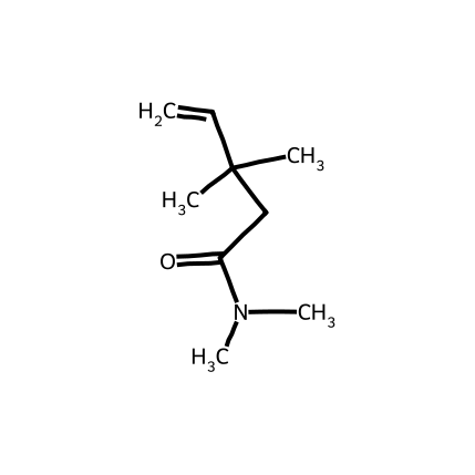 C=CC(C)(C)CC(=O)N(C)C